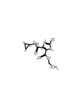 CCOC(=O)c1sc(Cl)nc1C(=O)NC1CC1